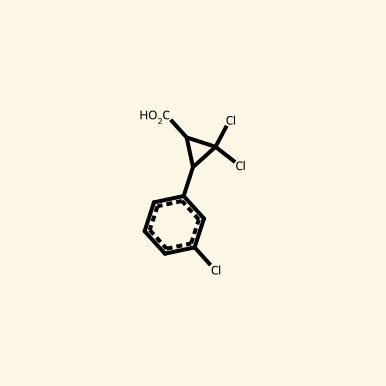 O=C(O)C1C(c2cccc(Cl)c2)C1(Cl)Cl